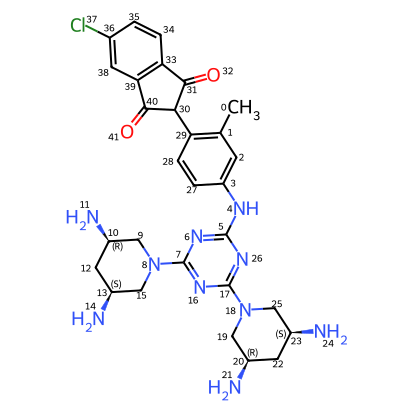 Cc1cc(Nc2nc(N3C[C@H](N)C[C@H](N)C3)nc(N3C[C@H](N)C[C@H](N)C3)n2)ccc1C1C(=O)c2ccc(Cl)cc2C1=O